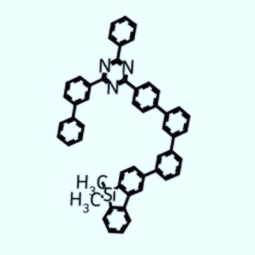 C[Si]1(C)c2ccccc2-c2cc(-c3cccc(-c4cccc(-c5ccc(-c6nc(-c7ccccc7)nc(-c7cccc(-c8ccccc8)c7)n6)cc5)c4)c3)ccc21